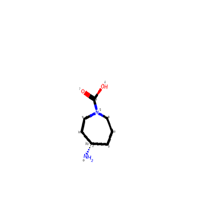 N[C@H]1CCCN(C(=O)O)CC1